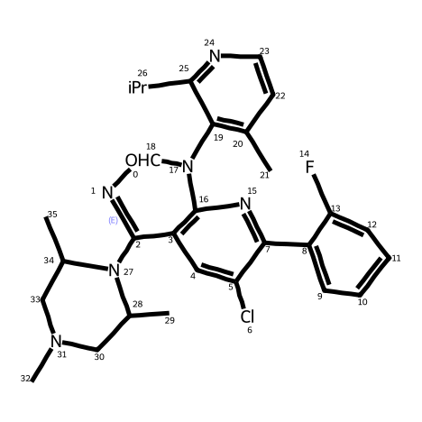 C/N=C(\c1cc(Cl)c(-c2ccccc2F)nc1N(C=O)c1c(C)ccnc1C(C)C)N1C(C)CN(C)CC1C